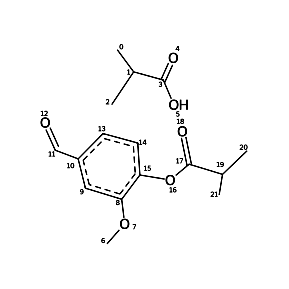 CC(C)C(=O)O.COc1cc(C=O)ccc1OC(=O)C(C)C